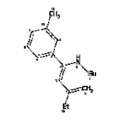 C=C(/C=C(\NC(C)CC)c1cccc(C)c1)CC